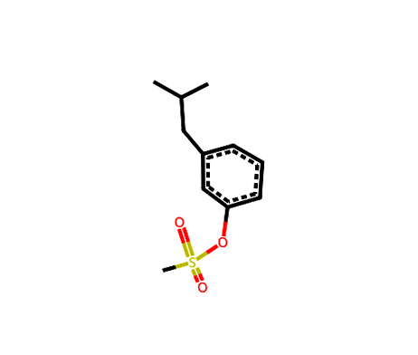 CC(C)Cc1cccc(OS(C)(=O)=O)c1